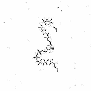 CCCC[Si](C)(C)O[Si](C)(C)O[Si](C)(C)O[Si](C)(C)O[Si](C)(C)CC[Si](C)(C)N[Si](C)(C)CC[Si](C)(C)O[Si](C)(C)O[Si](C)(C)O[Si](C)(C)O[Si](C)(C)CCCC